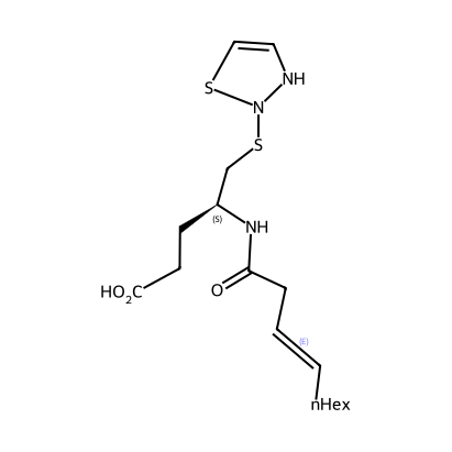 CCCCCC/C=C/CC(=O)N[C@@H](CCC(=O)O)CSN1NC=CS1